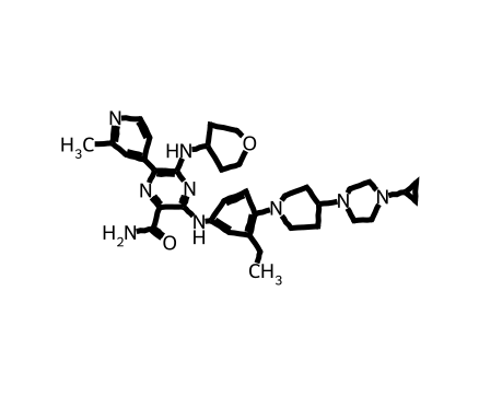 CCc1cc(Nc2nc(NC3CCOCC3)c(-c3ccnc(C)c3)nc2C(N)=O)ccc1N1CCC(N2CCN(C3CC3)CC2)CC1